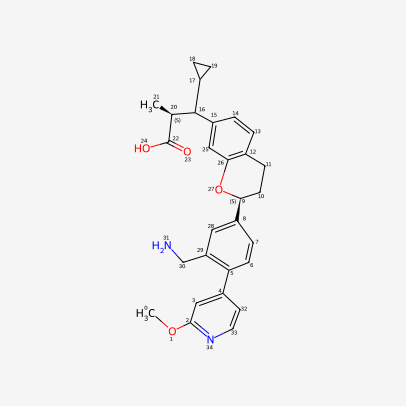 COc1cc(-c2ccc([C@@H]3CCc4ccc(C(C5CC5)[C@H](C)C(=O)O)cc4O3)cc2CN)ccn1